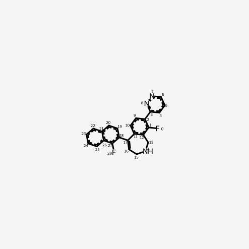 Fc1c(-c2cccnn2)ccc2c1CNCC=C2c1ccc2ccccc2c1F